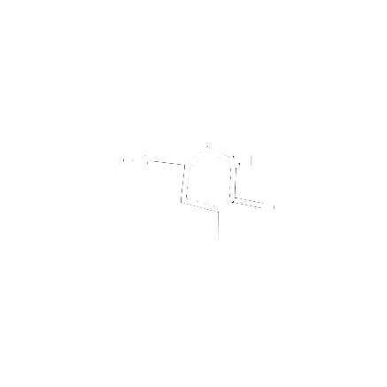 Cc1cc(S(=O)(=O)O)c[nH]c1=O